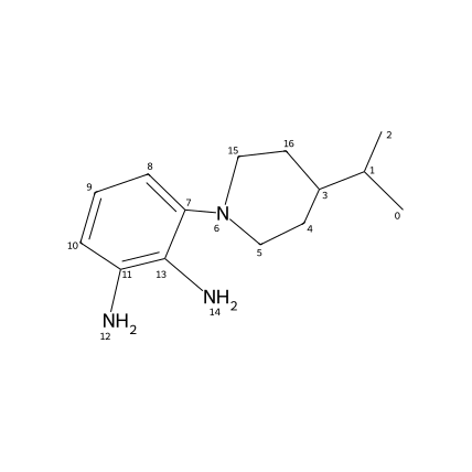 CC(C)C1CCN(c2cccc(N)c2N)CC1